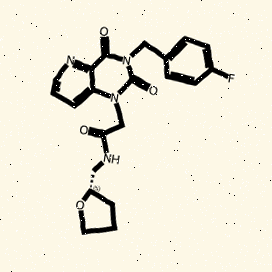 O=C(Cn1c(=O)n(Cc2ccc(F)cc2)c(=O)c2ncccc21)NC[C@@H]1CCCO1